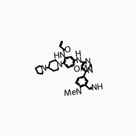 C=CC(=O)Nc1cc(Nc2cc(-c3ccc(NC)c(C=N)c3)ncn2)c(OC)cc1N1CCC(N2CCCC2)CC1